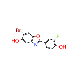 Oc1ccc(-c2nc3cc(O)c(Br)cc3o2)cc1F